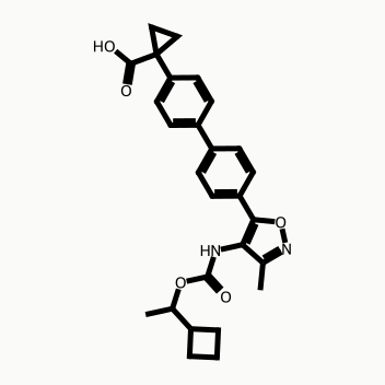 Cc1noc(-c2ccc(-c3ccc(C4(C(=O)O)CC4)cc3)cc2)c1NC(=O)OC(C)C1CCC1